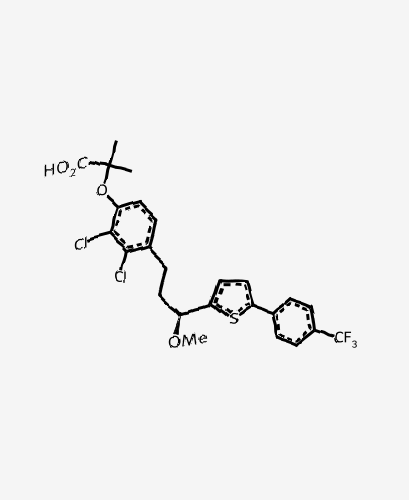 CO[C@@H](CCc1ccc(OC(C)(C)C(=O)O)c(Cl)c1Cl)c1ccc(-c2ccc(C(F)(F)F)cc2)s1